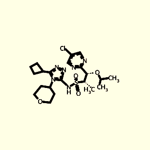 CC(C)O[C@@H](c1ncc(Cl)cn1)[C@H](C)S(=O)(=O)Nc1nnc(C2CCC2)n1C1CCOCC1